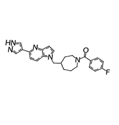 O=C(c1ccc(F)cc1)N1CCCC(Cn2ccc3nc(-c4cn[nH]c4)ccc32)CC1